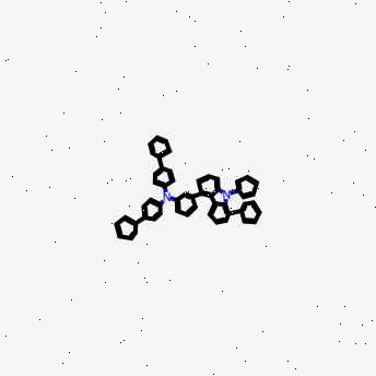 c1ccc(-c2ccc(N(c3ccc(-c4ccccc4)cc3)c3cccc(-c4cccc5c4c4cccc(-c6ccccc6)c4n5-c4ccccc4)c3)cc2)cc1